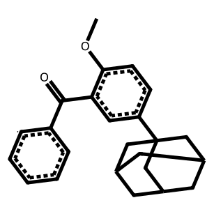 COc1ccc(C23CC4CC(CC(C4)C2)C3)cc1C(=O)c1[c]cccc1